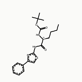 CCCC[C@H](NC(=O)OC(C)(C)C)C(=O)Nc1nc(-c2ccccc2)cs1